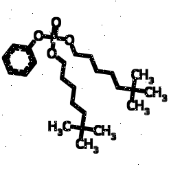 CC(C)(C)CCCCCOP(=O)(OCCCCCC(C)(C)C)Oc1ccccc1